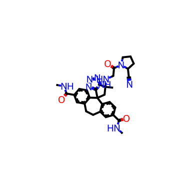 CNC(=O)c1ccc2c(c1)CCc1cc(C(=O)NC)ccc1C2(CC(C)(C)NCC(=O)N1CCCC1C#N)c1nnn[nH]1